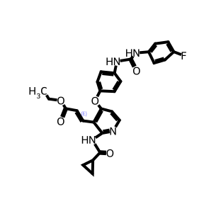 CCOC(=O)/C=C/c1c(Oc2ccc(NC(=O)Nc3ccc(F)cc3)cc2)ccnc1NC(=O)C1CC1